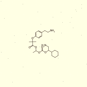 CC(OC(=O)OC(CN)C1CCCCC1)OC(=O)C(C)(C)Oc1ccc(CCN)cc1